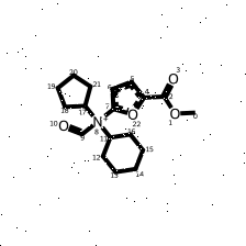 COC(=O)c1ccc([N+](C=O)(C2CCCCC2)C2CCCC2)o1